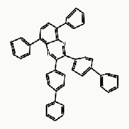 c1ccc(-c2ccc(-c3nc4c(-c5ccccc5)ccc(-c5ccccc5)c4nc3-c3ccc(-c4ccccc4)cc3)cc2)cc1